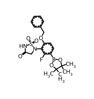 CC1(C)OB(c2ccc(OCc3ccccc3)c(N3CC(=O)NS3(=O)=O)c2F)OC1(C)C